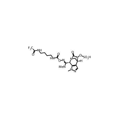 CN/C(=N\OC(=O)NCCCCNC(=O)C(F)(F)F)[C@@H]1c2c(cnn2C)[C@@H]2CN1C(=O)N2OS(=O)(=O)O